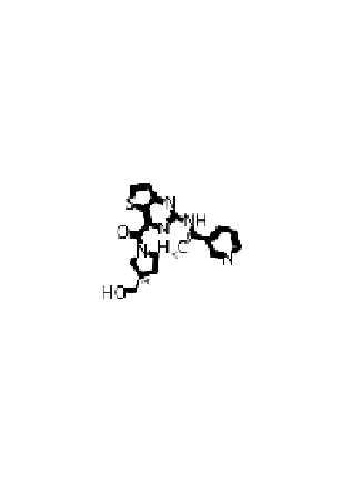 C[C@H](Nc1nc(C(=O)N2CC[C@@H](CO)C2)c2sccc2n1)c1cccnc1